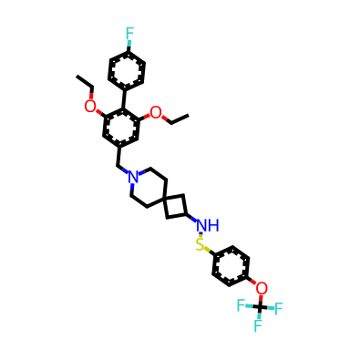 CCOc1cc(CN2CCC3(CC2)CC(NSc2ccc(OC(F)(F)F)cc2)C3)cc(OCC)c1-c1ccc(F)cc1